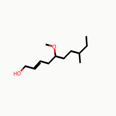 CCC(C)CCC(CC=CCO)OC